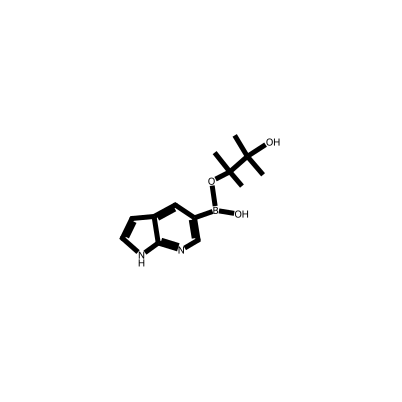 CC(C)(O)C(C)(C)OB(O)c1cnc2[nH]ccc2c1